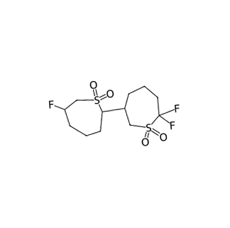 O=S1(=O)CC(F)CCCC1C1CCCC(F)(F)S(=O)(=O)C1